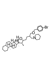 C[C@@H]1C(CCC(COCc2ccc(Br)cc2)CN2CCCCC2)O[C@H]2C[C@H]3[C@@H]4CCC5CCCC[C@]5(C)[C@H]4CC[C@]3(C)[C@H]21